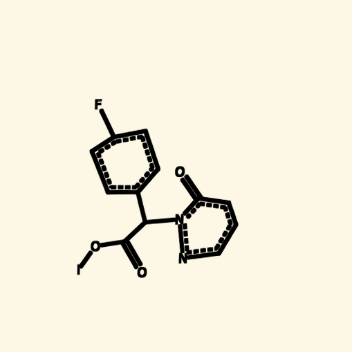 O=C(OI)C(c1ccc(F)cc1)n1ncccc1=O